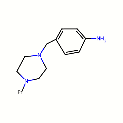 CC(C)N1CCN(Cc2ccc(N)cc2)CC1